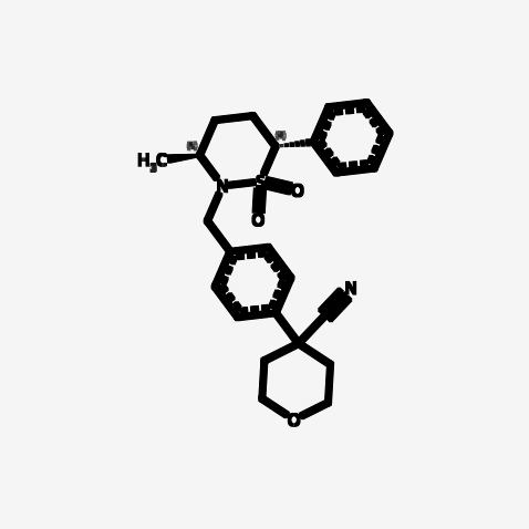 C[C@H]1CC[C@H](c2ccccc2)S(=O)(=O)N1Cc1ccc(C2(C#N)CCOCC2)cc1